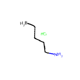 BCCCCN.Cl